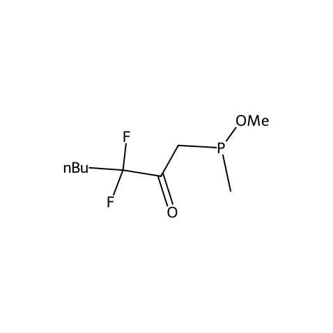 CCCCC(F)(F)C(=O)CP(C)OC